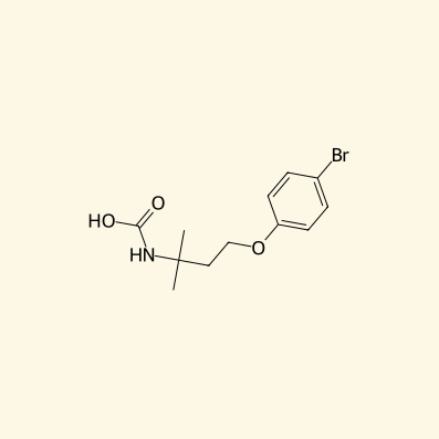 CC(C)(CCOc1ccc(Br)cc1)NC(=O)O